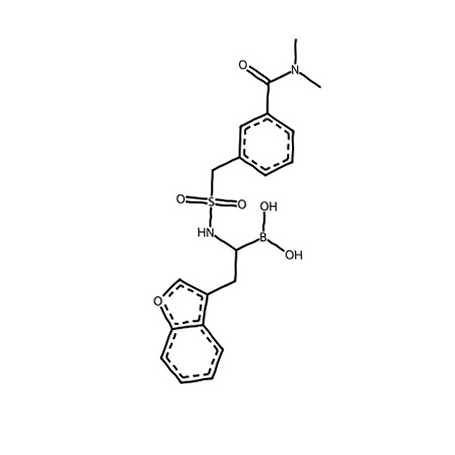 CN(C)C(=O)c1cccc(CS(=O)(=O)NC(Cc2coc3ccccc23)B(O)O)c1